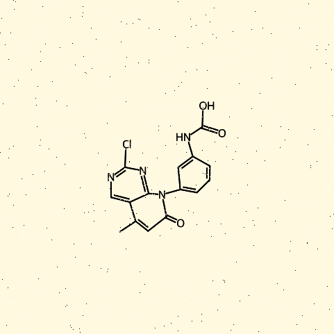 Cc1cc(=O)n(-c2cccc(NC(=O)O)c2)c2nc(Cl)ncc12